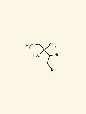 CCC(C)(C)C(Br)CBr